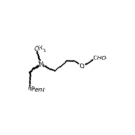 CCCCCCN(C)CCO[C]=O